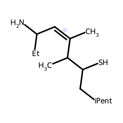 CCCC(C)CC(S)C(C)/C(C)=C\C(N)CC